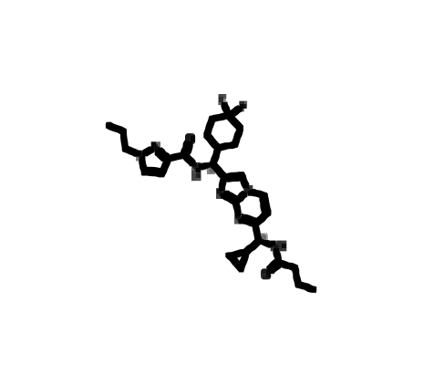 CCCC(=O)N[C@H](c1ccn2cc([C@@H](NC(=O)c3ccn(CCC)n3)C3CCC(F)(F)CC3)nc2n1)C1CC1